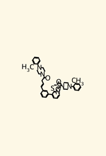 Cc1ccccc1N1CCN(C(=O)C/C=C/c2cccc(-c3cccnc3SCS(=O)(=O)N3CCN(c4ccccc4C)CC3)c2)CC1